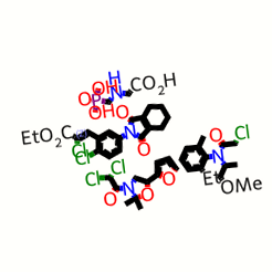 CC1(C)OC(c2ccco2)CN1C(=O)C(Cl)Cl.CCOC(=O)/C(Cl)=C/c1cc(N2C(=O)C3=C(CCCC3)C2=O)ccc1Cl.CCc1cccc(C)c1N(C(=O)CCl)C(C)COC.O=C(O)CNCP(=O)(O)O